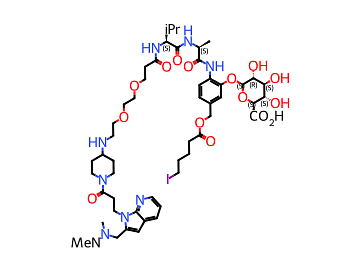 CNN(C)Cc1cc2cccnc2n1CCC(=O)N1CCC(NCCOCCOCCC(=O)N[C@H](C(=O)N[C@@H](C)C(=O)Nc2ccc(COC(=O)CCCCI)cc2O[C@@H]2O[C@H](C(=O)O)[C@@H](O)[C@H](O)[C@H]2O)C(C)C)CC1